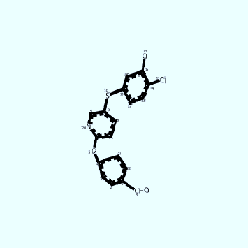 O=Cc1ccc(Oc2ccc(Sc3ccc(Cl)c(Cl)c3)cn2)cc1